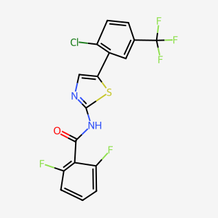 O=C(Nc1ncc(-c2cc(C(F)(F)F)ccc2Cl)s1)c1c(F)cccc1F